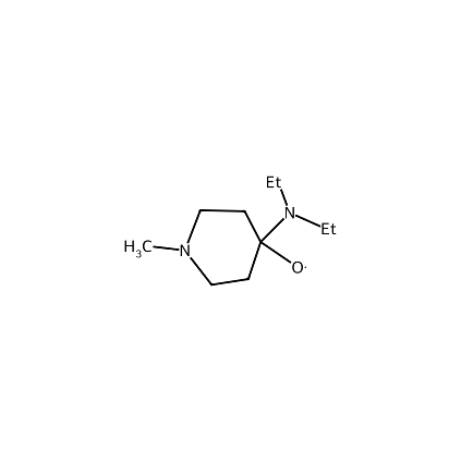 CCN(CC)C1([O])CCN(C)CC1